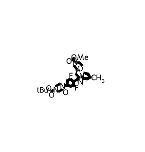 COC(=O)N1CCO[C@@H](Cc2c(-c3c(F)cc(N4CCN(C(=O)OC(C)(C)C)CC4=O)cc3F)nc3cc(C)ccn23)C1